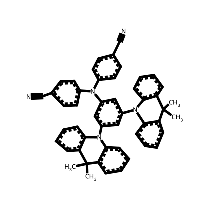 CC1(C)c2ccccc2N(c2cc(N(c3ccc(C#N)cc3)c3ccc(C#N)cc3)cc(N3c4ccccc4C(C)(C)c4ccccc43)c2)c2ccccc21